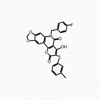 Cc1cccc(Sc2c(O)c3c(=O)n(Cc4ccc(F)cc4)c4cc5c(cc4c3oc2=O)OCO5)c1